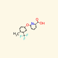 Cc1ccc(Oc2cccc(C(=O)O)n2)cc1C(F)(F)F